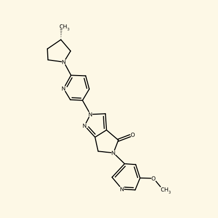 COc1cncc(N2Cc3nn(-c4ccc(N5CC[C@H](C)C5)nc4)cc3C2=O)c1